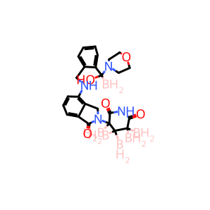 BC(O)(c1ccccc1CNc1cccc2c1CN(C1(B)C(=O)NC(=O)C(B)(B)C1(B)B)C2=O)N1CCOCC1